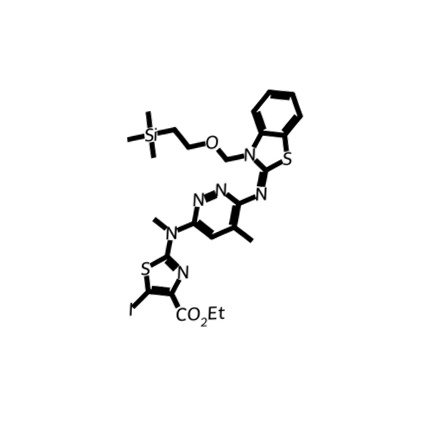 CCOC(=O)c1nc(N(C)c2cc(C)c(N=c3sc4ccccc4n3COCC[Si](C)(C)C)nn2)sc1I